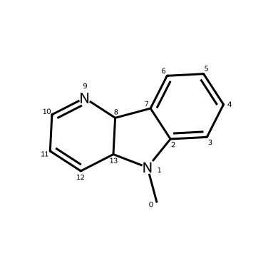 CN1c2ccccc2C2N=CC=CC21